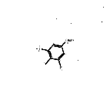 COc1cc(F)c(C)c(C(F)(F)F)c1